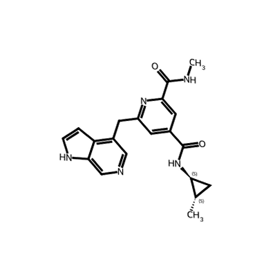 CNC(=O)c1cc(C(=O)N[C@H]2C[C@@H]2C)cc(Cc2cncc3[nH]ccc23)n1